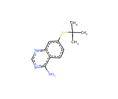 CC(C)(C)Sc1ccc2c(N)ncnc2c1